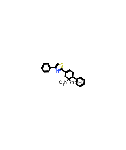 O=C(O)C1([N+](=O)[O-])CC(c2nc(-c3ccccc3)cs2)=CC=C1c1ccccc1